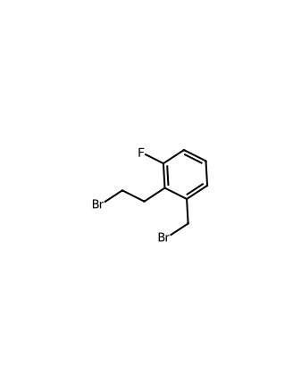 Fc1cccc(CBr)c1CCBr